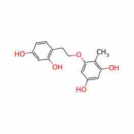 Cc1c(O)cc(O)cc1OCCc1ccc(O)cc1O